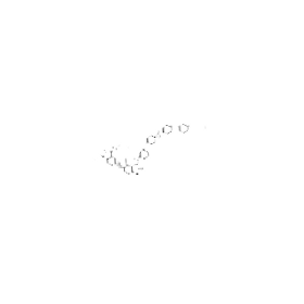 CNC(=O)c1cc(S(=O)(=O)c2ccc(C(=O)O)c(C(=O)Nc3cccc(Oc4ccc(S(=O)(=O)c5ccc(Oc6cccc(C)c6)cc5)cc4)c3)c2)ccc1C(=O)O